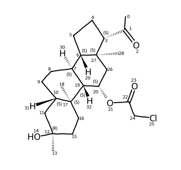 CC(=O)[C@H]1CC[C@H]2[C@@H]3CC[C@H]4C[C@](C)(O)CC[C@]4(C)[C@H]3[C@@H](OC(=O)CCl)C[C@]12C